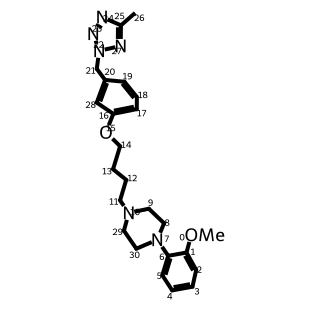 COc1ccccc1N1CCN(CCCCOc2cccc(Cn3nnc(C)n3)c2)CC1